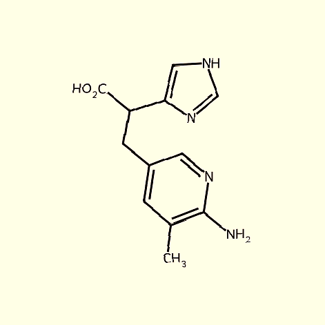 Cc1cc(CC(C(=O)O)c2c[nH]cn2)cnc1N